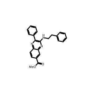 COC(=O)c1ccc2nc(-c3ccccc3)c(NCCc3ccccc3)nc2c1